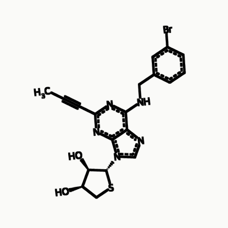 CC#Cc1nc(NCc2cccc(Br)c2)c2ncn([C@@H]3SC[C@@H](O)[C@H]3O)c2n1